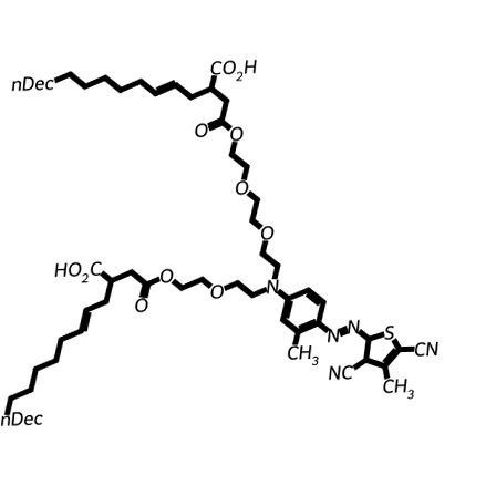 CCCCCCCCCCCCCCC/C=C/CC(CC(=O)OCCOCCOCCN(CCOCCOC(=O)CC(C/C=C/CCCCCCCCCCCCCCC)C(=O)O)c1ccc(/N=N/C2SC(C#N)=C(C)C2C#N)c(C)c1)C(=O)O